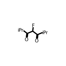 CC(C)C(=O)C(F)C(=O)C(C)C